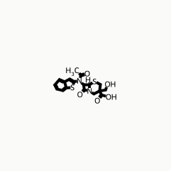 CC(=O)N(c1cc2ccccc2s1)C1C(=O)N2CC(CO)(C(=O)O)CS[C@H]12